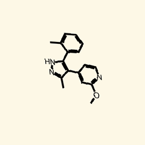 COc1cc(-c2c(C)n[nH]c2-c2ccccc2C)ccn1